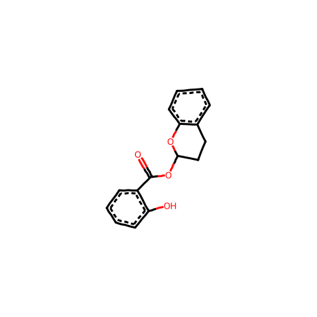 O=C(OC1CCc2ccccc2O1)c1ccccc1O